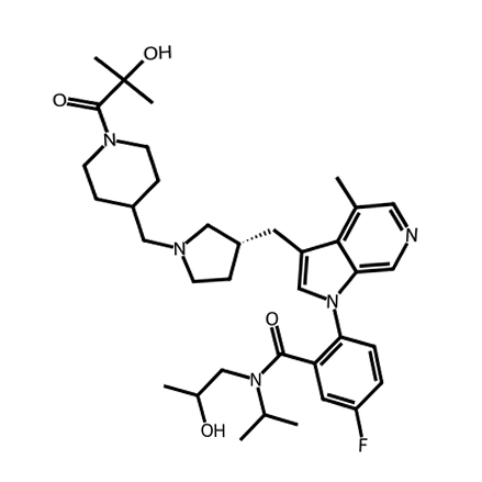 Cc1cncc2c1c(C[C@@H]1CCN(CC3CCN(C(=O)C(C)(C)O)CC3)C1)cn2-c1ccc(F)cc1C(=O)N(CC(C)O)C(C)C